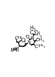 C=C1C(C)=CN([C@H]2C[C@@H](N=[N+]=[N-])C(CO)O2)C(=O)N1C(C)C